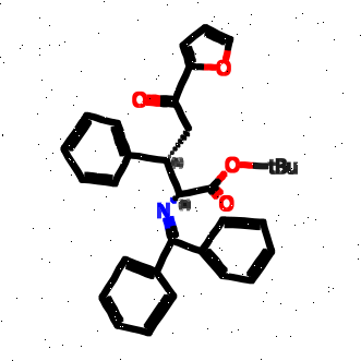 CC(C)(C)OC(=O)[C@H](N=C(c1ccccc1)c1ccccc1)[C@@H](CC(=O)c1ccco1)c1ccccc1